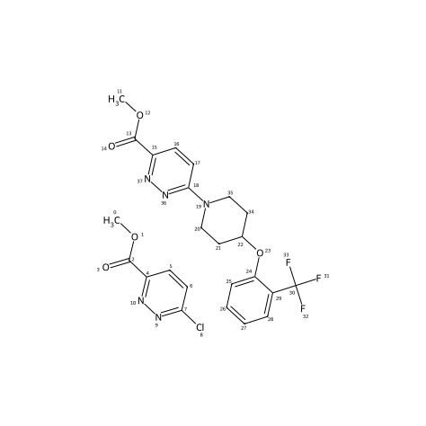 COC(=O)c1ccc(Cl)nn1.COC(=O)c1ccc(N2CCC(Oc3ccccc3C(F)(F)F)CC2)nn1